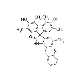 Cc1cc(Cc2ccccc2Cl)c2c(c1)C(c1cc(C)c(O)c(C)c1)(c1cc(C)c(O)c(C)c1)C(=O)N2